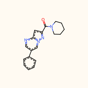 O=C(c1cc2ncc(-c3ccccc3)cn2n1)N1CCCCC1